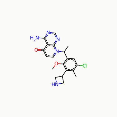 COc1c(C(C)n2ccc(=O)c3c(N)ncnc32)cc(Cl)c(C)c1C1CNC1